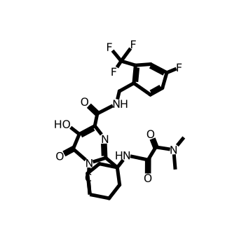 CN(C)C(=O)C(=O)NC12CCC(CC1)Cn1c2nc(C(=O)NCc2ccc(F)cc2C(F)(F)F)c(O)c1=O